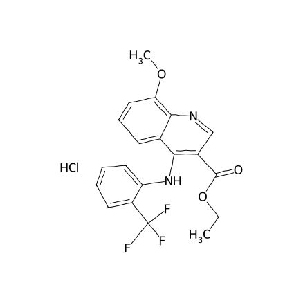 CCOC(=O)c1cnc2c(OC)cccc2c1Nc1ccccc1C(F)(F)F.Cl